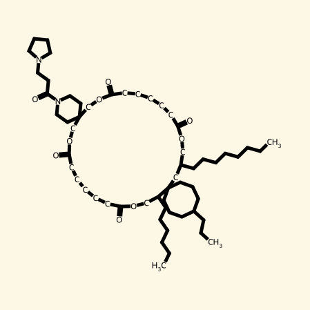 CCCCCCCCC1COC(=O)CCCCCC(=O)OCC2(CCN(C(=O)CCN3CCCC3)CC2)COC(=O)CCCCCC(=O)OCC(CCCCCC)C2(CCCC(CCC)CCC2)C1